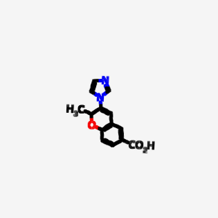 CC1Oc2ccc(C(=O)O)cc2C=C1n1ccnc1